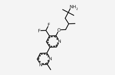 Cc1nccc(-c2cnc(OCC(C)CC(C)(C)N)c(C(F)F)c2)n1